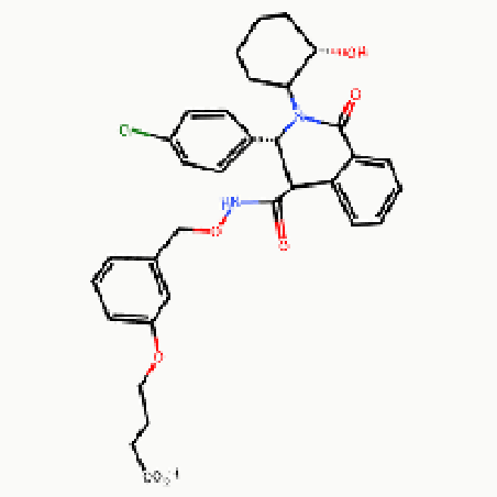 O=C(O)CCCOc1cccc(CONC(=O)[C@@H]2c3ccccc3C(=O)N([C@H]3CCCC[C@@H]3O)[C@H]2c2ccc(Cl)cc2)c1